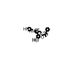 Cc1nc(-c2ccccc2)sc1C(=O)N1CCC(F)(F)C(=CC(=O)NCC2CCNCC2)c2ccccc21.Cl.Cl